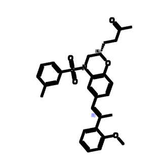 COc1ccccc1/C(C)=C/c1ccc2c(c1)N(S(=O)(=O)c1cccc(C)c1)C[C@H](CCC(C)=O)O2